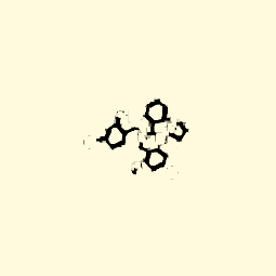 COc1ccc(CN(Cc2ccc(Cl)cc2Cl)C(=O)c2ccccc2-n2cccc2)c(OC)c1